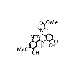 COC(=O)[C@H](C)N(C)Cc1ccc2c(c1Nc1ncnc3cc(OC)c(O)cc13)OCO2